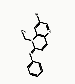 [2H]c1cnc2cc/c(=N\c3ccccc3)n(CO)c2c1